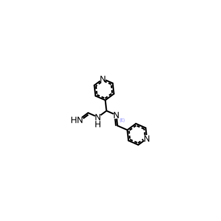 N=CNC(/N=C/c1ccncc1)c1ccncc1